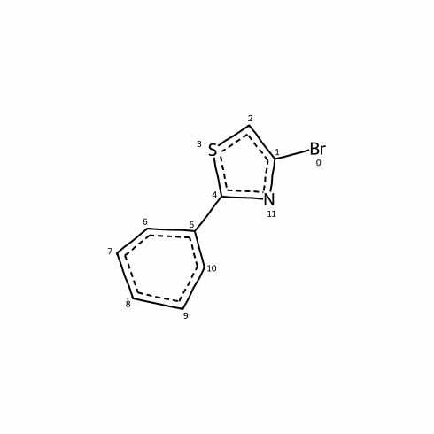 Brc1csc(-c2cc[c]cc2)n1